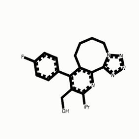 CC(C)c1nc2c(c(-c3ccc(F)cc3)c1CO)CCCCn1nnnc1-2